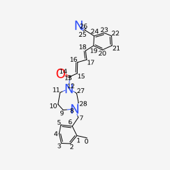 Cc1ccccc1CN1CCCN(C(=O)/C=C/C=C/c2ccccc2C#N)CC1